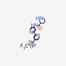 O=C(Nc1ccnc(-c2cc(-c3noc(C(F)(F)F)n3)ccn2)c1)C1CCCNC1